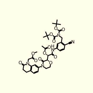 COC(=O)CN1C(=O)CCc2ccc(N3CCO[C@H]([C@@H](OC(C)=O)C(=O)Nc4ccc(C#N)c(CN(C(=O)OC(C)(C)C)C(=O)OC(C)(C)C)c4)C3=O)cc21